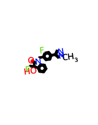 Cn1cc(-c2ccc(CN3C(=O)C(O)(CF)c4ccccc43)c(F)c2)cn1